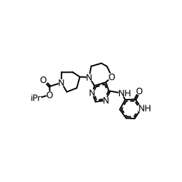 CC(C)OC(=O)N1CCC(N2CCCOc3c(Nc4ccc[nH]c4=O)ncnc32)CC1